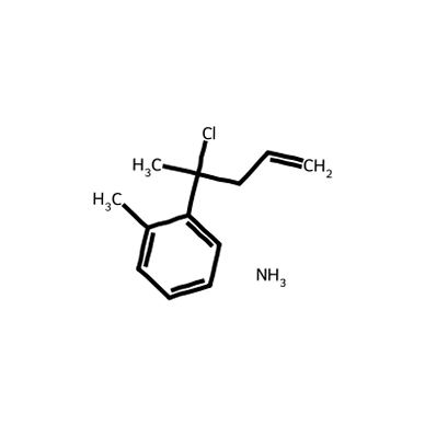 C=CCC(C)(Cl)c1ccccc1C.N